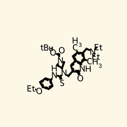 CCOc1ccc(NC(=S)N(Cc2cc3cc(C)c(CN(CC)CC)c(C)c3[nH]c2=O)C2CN(C(=O)OC(C)(C)C)C2)cc1